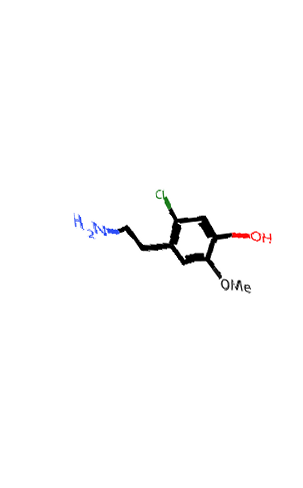 COc1cc(CCN)c(Cl)cc1O